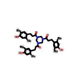 CC(C)(C)c1cc(CCC(=O)N2CN(C(=O)CCc3cc(C(C)(C)C)c(O)cc3C(C)(C)C)CN(C(=O)CCc3cc(C(C)(C)C)c(O)cc3C(C)(C)C)C2)c(C(C)(C)C)cc1O